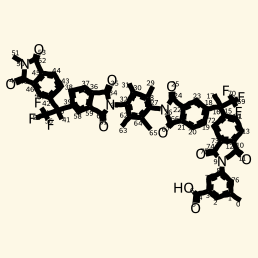 Cc1cc(C(=O)O)cc(N2C(=O)c3ccc(C(C)(c4ccc5c(c4)C(=O)N(c4c(C)c(C)c(N6C(=O)c7ccc(C(C)(c8ccc9c(c8)C(=O)N(C)C9=O)C(F)(F)F)cc7C6=O)c(C)c4C)C5=O)C(F)(F)F)cc3C2=O)c1